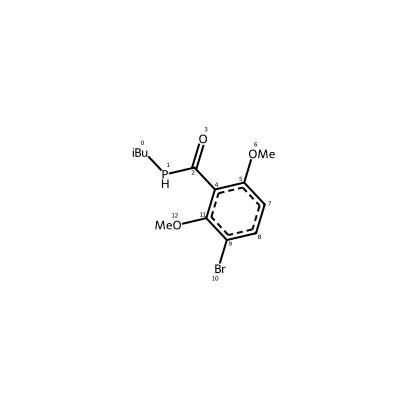 CCC(C)PC(=O)c1c(OC)ccc(Br)c1OC